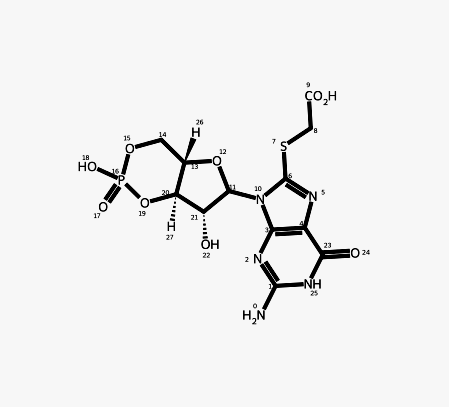 Nc1nc2c(nc(SCC(=O)O)n2C2O[C@H]3COP(=O)(O)O[C@@H]3[C@H]2O)c(=O)[nH]1